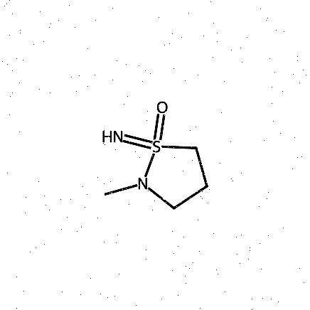 CN1CCCS1(=N)=O